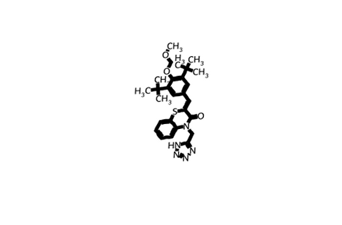 COCOc1c(C(C)(C)C)cc(/C=C2\Sc3ccccc3N(Cc3nnn[nH]3)C2=O)cc1C(C)(C)C